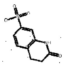 O=C1CCc2ccc(S(=O)(=O)Cl)cc2N1